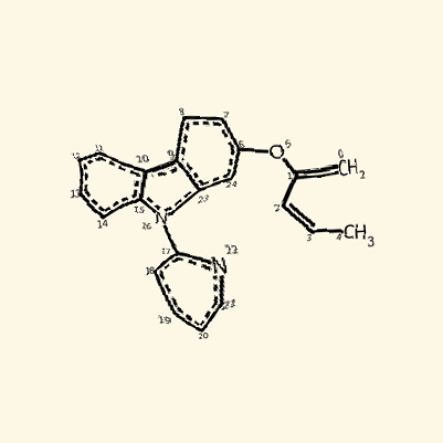 C=C(/C=C\C)Oc1ccc2c3ccccc3n(-c3ccccn3)c2c1